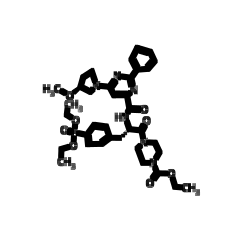 CCOC(=O)N1CCN(C(=O)[C@H](Cc2ccc(P(=O)(OCC)OCC)cc2)NC(=O)c2cc(N3CC[C@H](OC)C3)nc(-c3ccccc3)n2)CC1